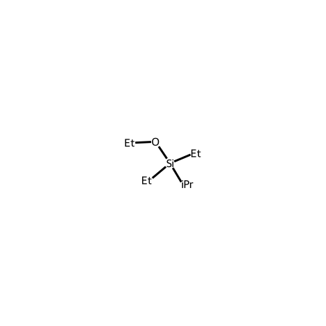 [CH2]CO[Si](CC)(CC)C(C)C